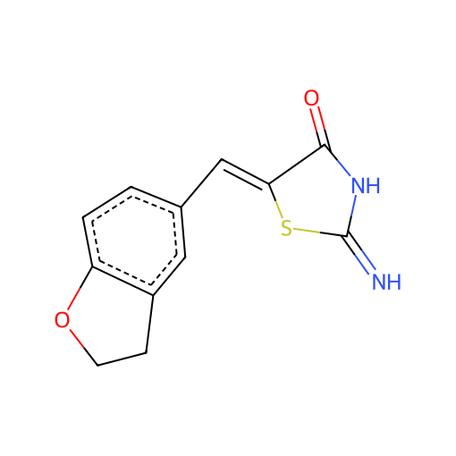 N=C1NC(=O)C(=Cc2ccc3c(c2)CCO3)S1